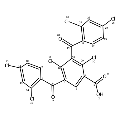 O=C(O)c1cc(C(=O)c2ccc(Cl)cc2Cl)c(Cl)c(C(=O)c2ccc(Cl)cc2Cl)c1Cl